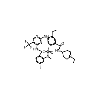 CCc1cc(C(=O)NC2CCN(CC)CC2)ccc1Nc1ncc(C(F)(F)F)c(NCc2ccc(C)cc2N(C)S(C)(=O)=O)n1